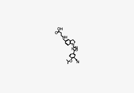 CC(C)Oc1ccc(-c2nc(N3CCc4cc(CNCCC(=O)O)ccc43)no2)cc1C#N